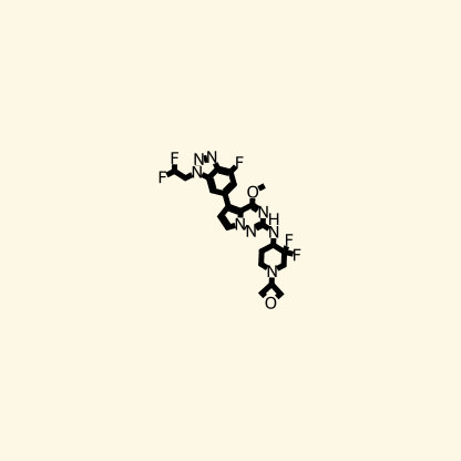 COc1nc(NC2CCN(C3COC3)CC2(F)F)nn2ccc(-c3cc(F)c4nnn(CC(F)F)c4c3)c12